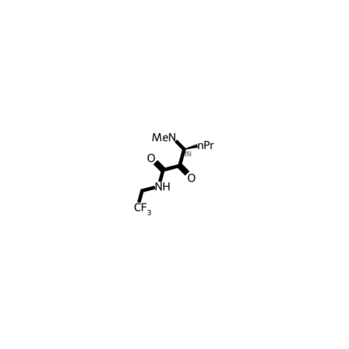 CCC[C@H](NC)C(=O)C(=O)NCC(F)(F)F